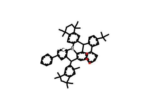 Cc1cc2c3c(c1)C(c1ccc(C(C)(C)C)cc1-c1ccccc1)c1cc4c(cc1B3c1ccc(-c3ccccc3)cc1C2c1cc2c(cc1C)C(C)(C)CC2(C)C)C(C)(C)CCC4(C)C